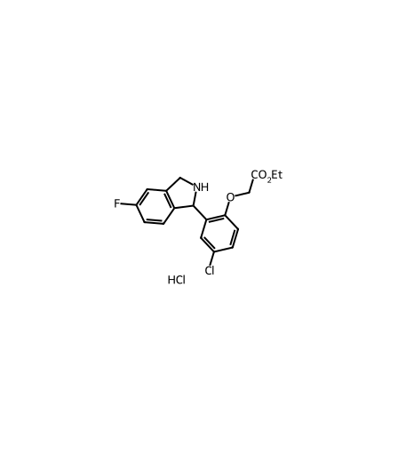 CCOC(=O)COc1ccc(Cl)cc1C1NCc2cc(F)ccc21.Cl